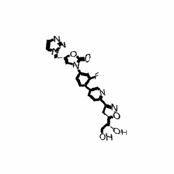 O=C1O[C@@H](Cn2ccnn2)CN1c1ccc(-c2ccc(C3=NO[C@@H]([C@H](O)CO)C3)nc2)c(F)c1